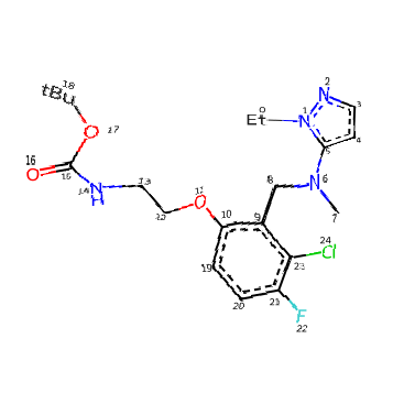 CCn1nccc1N(C)Cc1c(OCCNC(=O)OC(C)(C)C)ccc(F)c1Cl